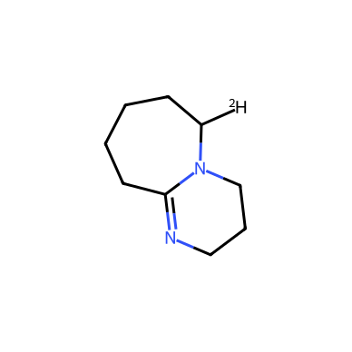 [2H]C1CCCCC2=NCCCN21